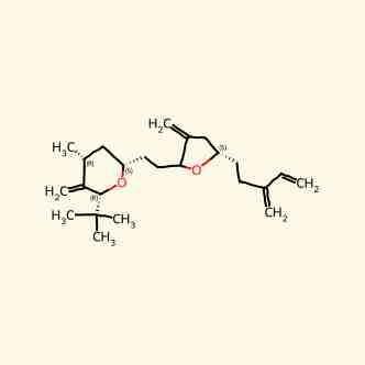 C=CC(=C)CC[C@H]1CC(=C)C(CC[C@H]2C[C@@H](C)C(=C)[C@@H](C(C)(C)C)O2)O1